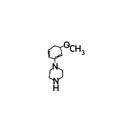 COC1C=C(N2CCNCC2)C=CC1